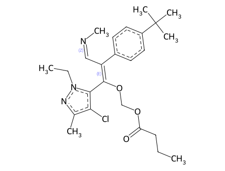 CCCC(=O)OCO/C(=C(/C=N\C)c1ccc(C(C)(C)C)cc1)c1c(Cl)c(C)nn1CC